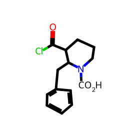 O=C(Cl)C1CCCN(C(=O)O)C1Cc1ccccc1